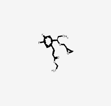 CCOC(=O)/C=C/c1cc(F)c(F)cc1[C@@H](CC)OCC1CO1